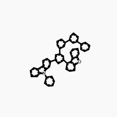 c1ccc(-c2cccc(-c3cccc(-c4cc(-c5ccc6c7ccccc7n(-c7ccccc7)c6c5)cc(-c5cccc6oc7ccccc7c56)c4)c3)c2)cc1